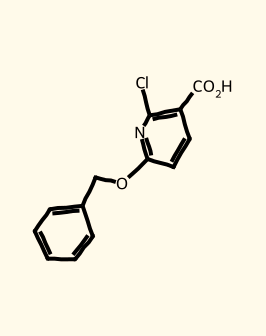 O=C(O)c1ccc(OCc2ccccc2)nc1Cl